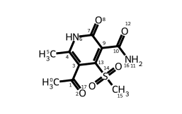 CC(=O)c1c(C)[nH]c(=O)c(C(N)=O)c1S(C)(=O)=O